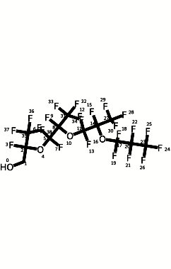 OCC(F)(OC(F)(F)C(F)(OC(F)(F)C(F)(OC(F)(F)C(F)(F)C(F)(F)F)C(F)(F)F)C(F)(F)F)C(F)(F)F